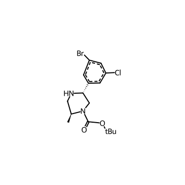 C[C@H]1CN[C@H](c2cc(Cl)cc(Br)c2)CN1C(=O)OC(C)(C)C